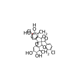 C=C1C(C(=O)C(C(=O)C2=CC=C(O)C(O)C2=C)(C(=O)c2ccc(Cl)cc2)C(=O)c2ccc(Cl)cc2)=CC=C(O)C1O